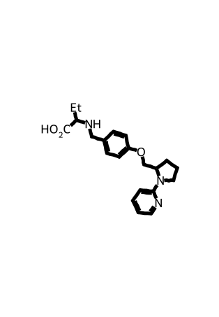 CCC(NCc1ccc(OCC2CCCN2c2ccccn2)cc1)C(=O)O